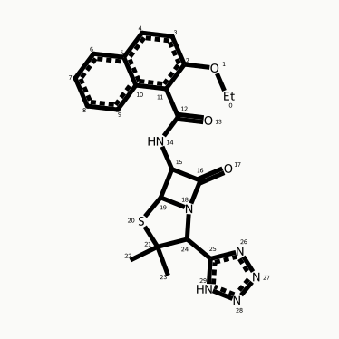 CCOc1ccc2ccccc2c1C(=O)NC1C(=O)N2C1SC(C)(C)C2c1nnn[nH]1